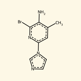 Cc1cc(-n2ccnc2)nc(Br)c1N